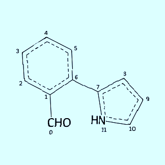 O=Cc1ccccc1-c1ccc[nH]1